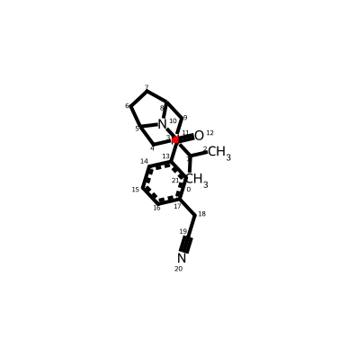 CC(C)N1CC2CCC(C1)N2C(=O)c1cccc(CC#N)c1